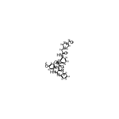 COc1cc(O)cc(Nc2nc3ccccc3nc2NS(=O)(=O)c2cccc(NC(=O)CN3CCN(C=O)CC3)c2)c1